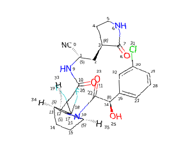 N#C[C@H](C[C@H]1CCNC1=O)NC(=O)[C@@H]1[C@@H]2CC[C@@H](CC2(F)F)N1C(=O)[C@H](O)c1cccc(Cl)c1